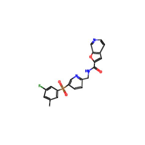 Cc1cc(F)cc(S(=O)(=O)c2ccc(CNC(=O)c3cc4ccncc4o3)nc2)c1